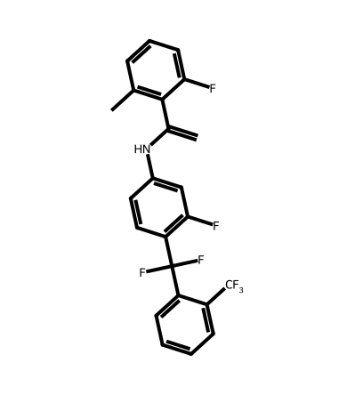 C=C(Nc1ccc(C(F)(F)c2ccccc2C(F)(F)F)c(F)c1)c1c(C)cccc1F